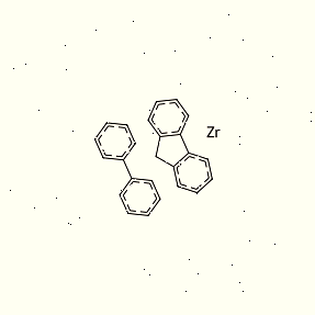 [Zr].c1ccc(-c2ccccc2)cc1.c1ccc2c(c1)Cc1ccccc1-2